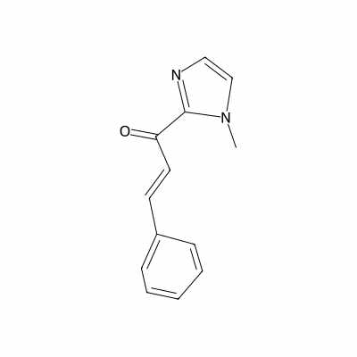 Cn1ccnc1C(=O)C=Cc1ccccc1